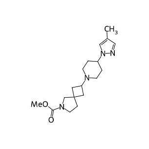 COC(=O)N1CCC2(CC(N3CCC(n4cc(C)cn4)CC3)C2)C1